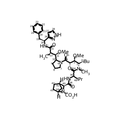 CC[C@H](C)[C@@H]([C@@H](CC(=O)N1CCCC1[C@H](OC)[C@@H](C)C(=O)N[C@@H](Cc1ccccc1)c1cc[nH]n1)OC)N(C)C(=O)C(NC(=O)[C@@H]1[C@H]2CC[C@H](C2)N1C(=O)O)C(C)C